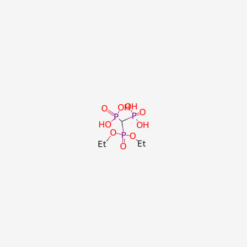 CCOP(=O)(OCC)C(P(=O)(O)O)P(=O)(O)O